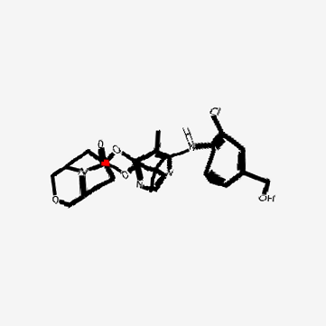 Cc1c(Nc2ccc(CO)cc2Cl)ncnc1OC1CC2COCC(C1)N2C(=O)OCC(C)(C)C